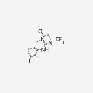 Cc1c(I)cccc1Nc1nc(C(F)(F)F)cc(=O)n1C